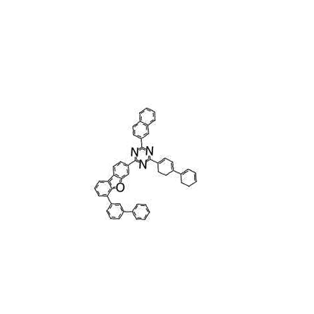 C1=CCCC(C2=CC=C(c3nc(-c4ccc5ccccc5c4)nc(-c4ccc5c(c4)oc4c(-c6cccc(-c7ccccc7)c6)cccc45)n3)CC2)=C1